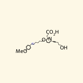 COc1ccc(/C=C/CCCCOc2ccc(C#CCCCO)nc2CCC(=O)O)cc1